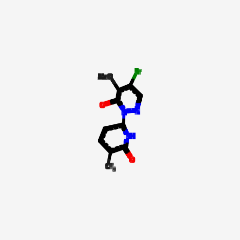 COc1c(Br)cnn(-c2ccc(C(F)(F)F)c(=O)[nH]2)c1=O